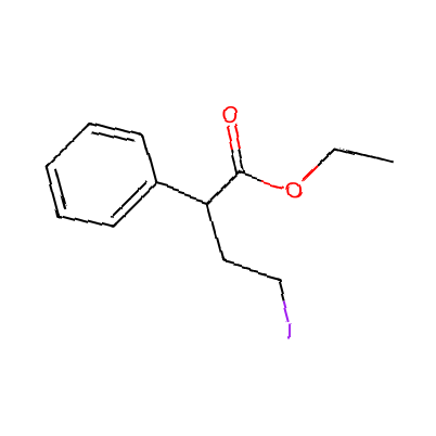 CCOC(=O)C(CCI)c1ccccc1